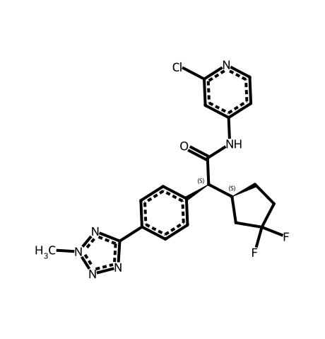 Cn1nnc(-c2ccc([C@@H](C(=O)Nc3ccnc(Cl)c3)[C@H]3CCC(F)(F)C3)cc2)n1